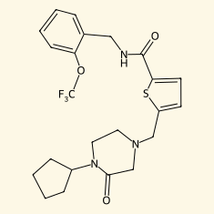 O=C(NCc1ccccc1OC(F)(F)F)c1ccc(CN2CCN(C3CCCC3)C(=O)C2)s1